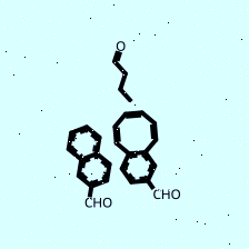 CCCC=O.O=Cc1ccc2c(c1)\C=C/C=C\C=C/2.O=Cc1ccc2ccccc2c1